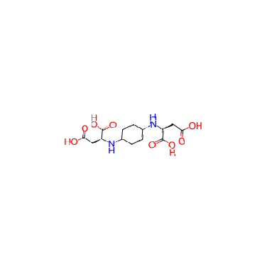 O=C(O)C[C@H](NC1CCC(N[C@@H](CC(=O)O)C(=O)O)CC1)C(=O)O